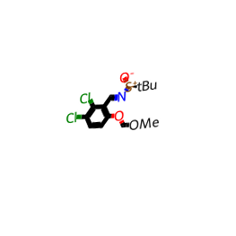 COCOc1ccc(Cl)c(Cl)c1/C=N/[S@@+]([O-])C(C)(C)C